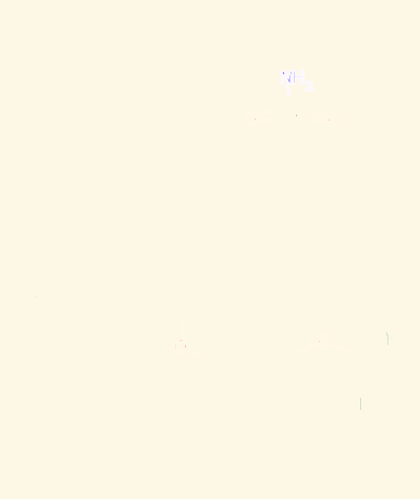 NS(=O)(=O)CCc1ccc2c(c1)C(c1cccc(Cl)c1)Oc1cccc(OC(F)F)c1-2